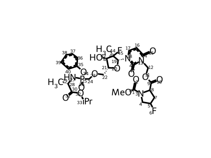 COC(=O)N1CC(F)CC1C(=O)OCn1c(=O)ccn([C@@H]2O[C@H](COCP(=O)(N[C@@H](C)C(=O)OC(C)C)Oc3ccccc3)[C@@H](O)[C@@]2(C)F)c1=O